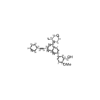 COc1ccc(-c2ccc3c(N4CCOC[C@@H]4C)nc(C#Cc4cccnc4)nc3n2)cc1CO